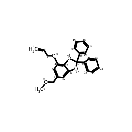 C=CCOc1cc(COC)cc2c1OC(c1ccccc1)(c1ccccc1)O2